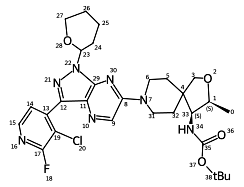 C[C@@H]1OCC2(CCN(c3cnc4c(-c5ccnc(F)c5Cl)nn(C5CCCCO5)c4n3)CC2)[C@@H]1NC(=O)OC(C)(C)C